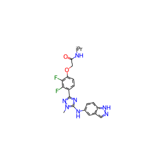 CC(C)NC(=O)COc1ccc(-c2nc(Nc3ccc4[nH]ncc4c3)n(C)n2)c(F)c1F